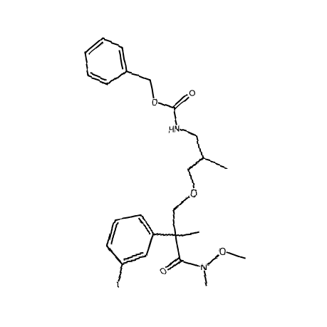 CON(C)C(=O)C(C)(COCC(C)CNC(=O)OCc1ccccc1)c1cccc(I)c1